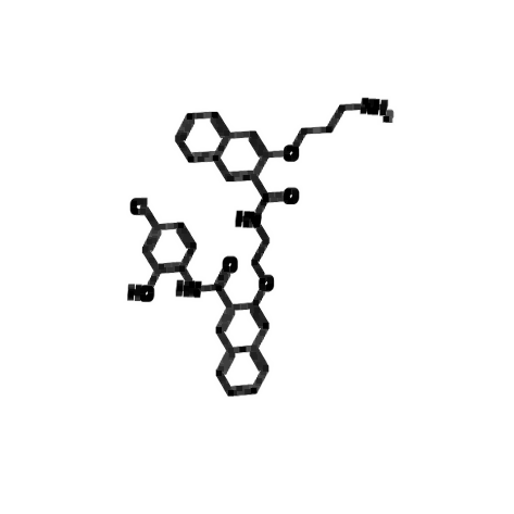 NCCCOc1cc2ccccc2cc1C(=O)NCCOc1cc2ccccc2cc1C(=O)Nc1ccc(Cl)cc1O